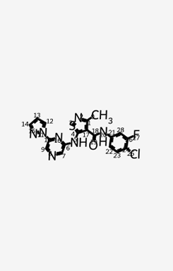 Cc1nsc(Nc2cncc(-n3cccn3)n2)c1C(=O)Nc1ccc(Cl)c(F)c1